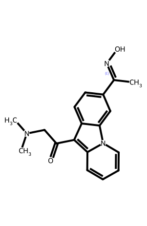 C/C(=N\O)c1ccc2c(C(=O)CN(C)C)c3ccccn3c2c1